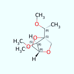 CO[C@@H]1[C@@H]2OC[C@@]1([C@@H](C)OC)O[C@H]2C